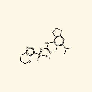 CC(C)c1cc2c(c(NC(=O)N=S(N)(=O)c3cnn4c3OCCC4)c1F)CCC2